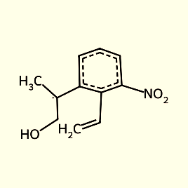 C=Cc1c([C](C)CO)cccc1[N+](=O)[O-]